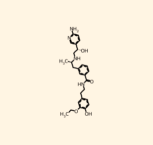 CCOc1cc(CCNC(=O)c2cccc(C[C@@H](C)NC[C@@H](O)c3ccc(N)nc3)c2)ccc1O